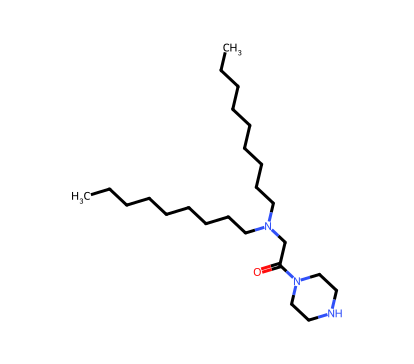 CCCCCCCCCN(CCCCCCCCC)CC(=O)N1CCNCC1